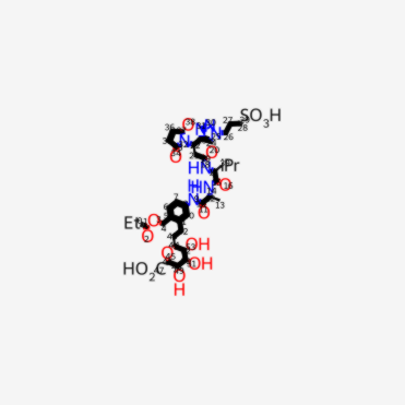 CCC(=O)OCc1ccc(NC(=O)[C@H](C)NC(=O)[C@@H](NC(=O)C[C@H](c2cn(CCCS(=O)(=O)O)nn2)N2C(=O)C=CC2=O)C(C)C)cc1CC[C@@H]1O[C@H](C(=O)O)[C@@H](O)[C@H](O)[C@H]1O